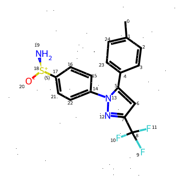 Cc1ccc(-c2cc(C(F)(F)F)nn2-c2ccc([S@+](N)[O-])cc2)cc1